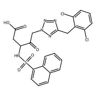 O=C(O)CC(NS(=O)(=O)c1cccc2ccccc12)C(=O)Cn1nnc(Cc2c(Cl)cccc2Cl)n1